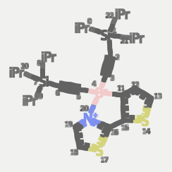 CC(C)[Si](C#C[B-]1(C#C[Si](C(C)C)(C(C)C)C(C)C)c2ccsc2-c2scc[n+]21)(C(C)C)C(C)C